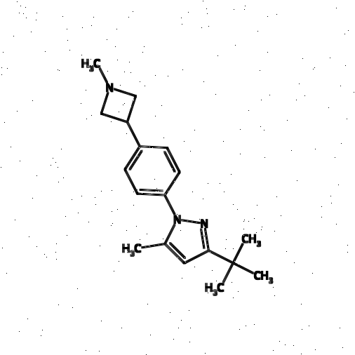 Cc1cc(C(C)(C)C)nn1-c1ccc(C2CN(C)C2)cc1